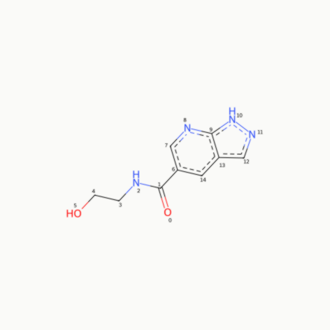 O=C(NCCO)c1cnc2[nH]ncc2c1